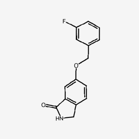 O=C1NCc2ccc(OCc3cccc(F)c3)cc21